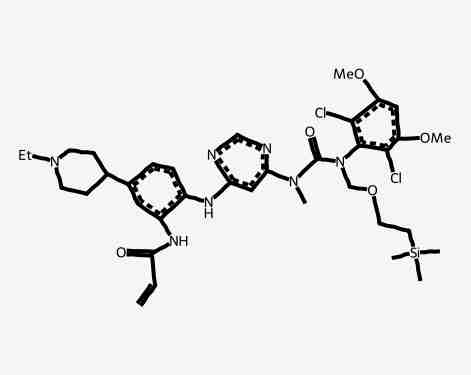 C=CC(=O)Nc1cc(C2CCN(CC)CC2)ccc1Nc1cc(N(C)C(=O)N(COCC[Si](C)(C)C)c2c(Cl)c(OC)cc(OC)c2Cl)ncn1